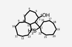 BC1(C2C(O)CCCC3CCCCCCC32)CCCCCCC1